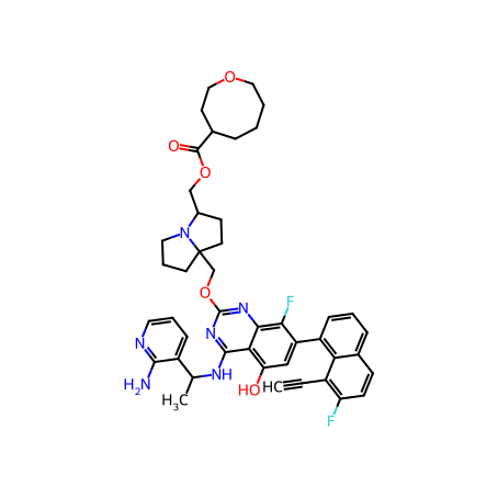 C#Cc1c(F)ccc2cccc(-c3cc(O)c4c(NC(C)c5cccnc5N)nc(OCC56CCCN5C(COC(=O)C5CCCCOCC5)CC6)nc4c3F)c12